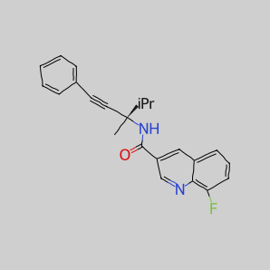 CC(C)[C@@](C)(C#Cc1ccccc1)NC(=O)c1cnc2c(F)cccc2c1